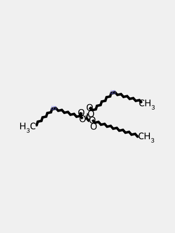 CCCCCCCC/C=C\CCCCCCCC(=O)O[C@@H](COC(=O)CCCCCCC/C=C\CCCCCCCCC)COC(=O)CCCCCCCCCCCCCCC